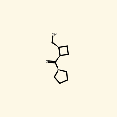 O=C([C@@H]1CC[C@@H]1CO)N1CCCC1